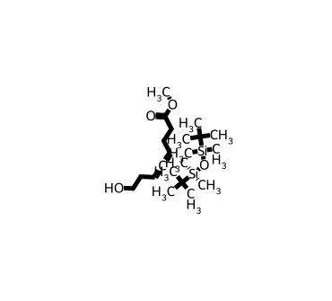 CC(C)(C)[Si](C)(C)O[Si](C)(C)C(C)(C)C.COC(=O)CCC=C=CCCO